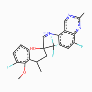 COc1c(F)cccc1C(C)CC(O)(/C=N\c1ccc(F)c2nc(C)ncc12)C(F)(F)F